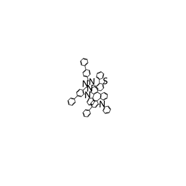 C1=c2sc3ccccc3c2=C(c2nc(-c3ccc(-c4ccccc4)cc3)nc(-c3ccc(-c4ccccc4)cc3-n3c4ccccc4c4c(-c5cccc6c5c5ccc(-c7ccccc7)cc5n6-c5ccccc5)cccc43)n2)CC1